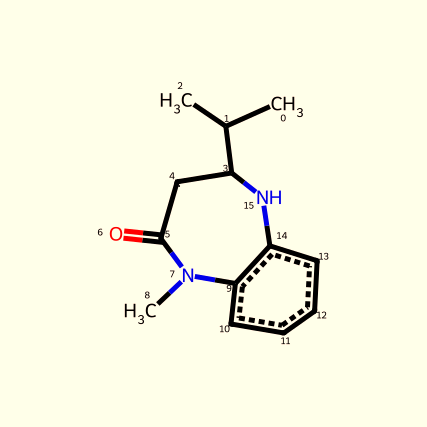 CC(C)C1[C]C(=O)N(C)c2ccccc2N1